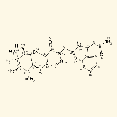 C[C@@H]1[C@@H](C)C(C)(C)[C@@H](C)C[C@H]1Nc1cnn(CC(=O)NC(CC(N)=O)c2ccncc2)c(=O)c1Br